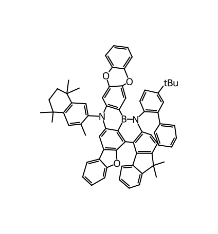 Cc1cc2c(cc1N1c3cc4c(cc3B3c5c1cc1c(oc6ccccc61)c5-c1c(ccc5c1-c1ccccc1C5(C)C)N3c1ccc(C(C)(C)C)cc1-c1ccccc1)Oc1ccccc1O4)C(C)(C)CCC2(C)C